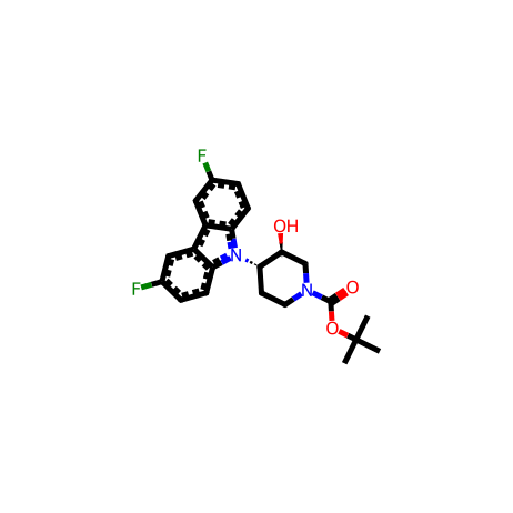 CC(C)(C)OC(=O)N1CC[C@H](n2c3ccc(F)cc3c3cc(F)ccc32)[C@@H](O)C1